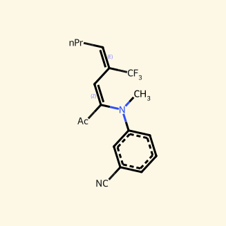 CCC/C=C(\C=C(\C(C)=O)N(C)c1cccc(C#N)c1)C(F)(F)F